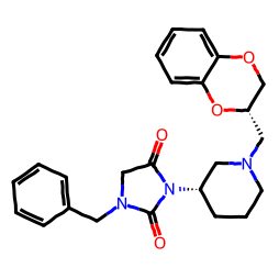 O=C1CN(Cc2ccccc2)C(=O)N1[C@H]1CCCN(C[C@H]2COc3ccccc3O2)C1